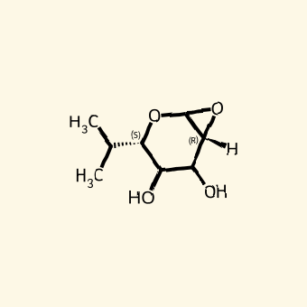 CC(C)[C@@H]1OC2O[C@@H]2C(O)C1O